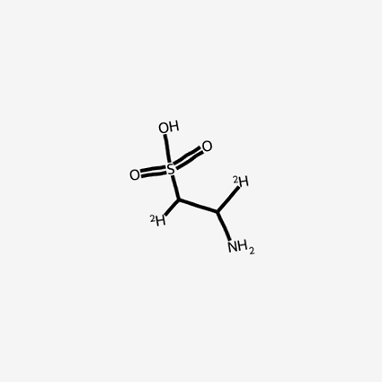 [2H]C(N)C([2H])S(=O)(=O)O